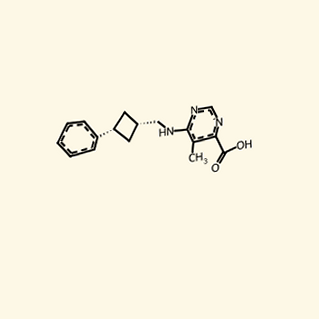 Cc1c(NC[C@H]2C[C@@H](c3ccccc3)C2)ncnc1C(=O)O